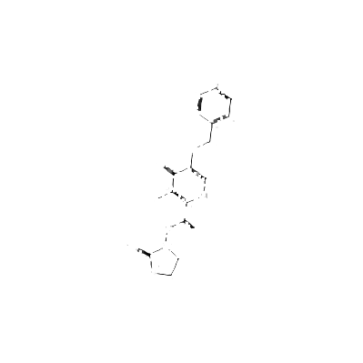 O=C(NN1CCNC1=O)c1[nH]cc(OCc2ccccc2)c(=O)c1Br